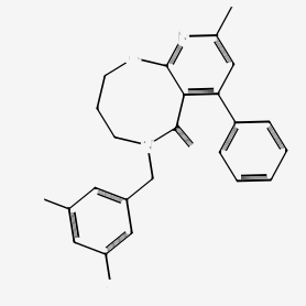 Cc1cc(-c2ccccc2)c2c(n1)OCCCN(Cc1cc(C(F)(F)F)cc(C(F)(F)F)c1)C2=O